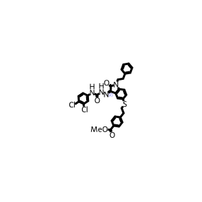 COC(=O)c1ccc(CCSc2ccc3c(c2)/C(=N/NC(=O)Nc2ccc(Cl)c(Cl)c2)C(=O)N3CCc2ccccc2)cc1